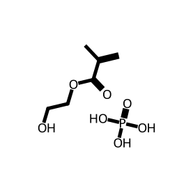 C=C(C)C(=O)OCCO.O=P(O)(O)O